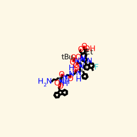 CC[C@@]1(O)C(=O)OCc2c1cc1n(c2=O)Cc2c-1nc1cc(F)c(C)c3c1c2[C@@H](N(CC(=O)NC(=O)OC(C)(C)C)C(=O)[C@H](Cc1ccccc1)NC(=O)CNC(=O)CNC(=O)[C@H](CCCCN)NC(=O)OCC1c2ccccc2-c2ccccc21)CC3